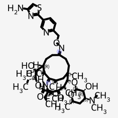 CCC(=O)/N=C1\[C@H](C)C[C@@]2(C)CC/C(=N/OCc3ccc(-c4nc(N)cs4)cn3)CC[C@H]([C@H]1C)[C@](C)(O)[C@@H](CC)OC(=O)[C@@](C)(F)C(=O)[C@H](C)[C@H]2O[C@@H]1O[C@H](C)C[C@H](N(C)C)[C@H]1O